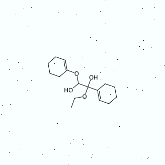 CCOC(O)(C1=CCCCC1)C(O)OC1=CCCCC1